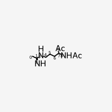 CC(=N)NCCCC(NC(C)=O)C(C)=O